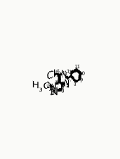 Cn1ncc2nc(-c3ccccc3)nc(Cl)c21